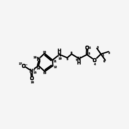 CC(C)(C)OC(=O)NCCNc1ccc([N+](=O)[O-])nc1